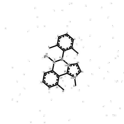 Cc1cccc(C)c1B1N(C(C)C)c2cccc(C)c2-c2n1cc[n+]2C